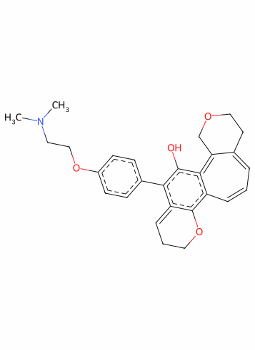 CN(C)CCOc1ccc(-c2c(O)c3c(c4c2=CCCO4)C=CC=C2CCOCC=32)cc1